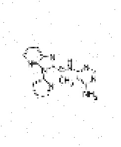 C[C@H](Nc1cc(N)ncn1)c1nc2cccnc2n1-c1ccccn1